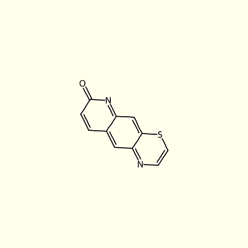 O=c1ccc2cc3nccsc3cc2n1